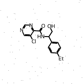 CCc1ccc(C(CO)NC(=O)c2ncncc2Cl)cc1